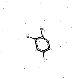 Bc1ccc(C(C)C)cc1C#N